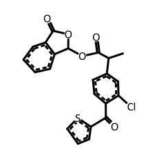 CC(C(=O)OC1OC(=O)c2ccccc21)c1ccc(C(=O)c2cccs2)c(Cl)c1